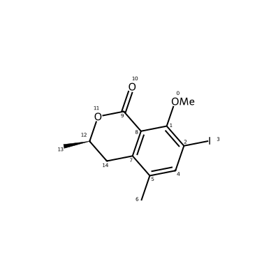 COc1c(I)cc(C)c2c1C(=O)O[C@H](C)C2